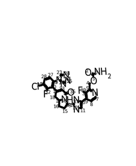 NC(=O)OCc1nccc(-c2cnc([C@@H]3CCC4CC(c5c(-n6cnnn6)ccc(Cl)c5F)=CC(=O)N43)[nH]2)c1F